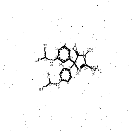 CCN1C(=O)C(c2ccc(OC(F)F)cc2)(c2cccc(OC(F)F)c2)N=C1N